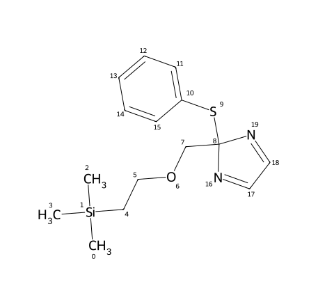 C[Si](C)(C)CCOCC1(Sc2ccccc2)N=CC=N1